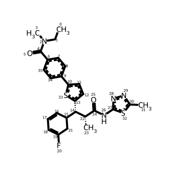 CCN(C)C(=O)c1ccc(-c2ccc([C@@H](C3C=CC=C(F)C3)[C@@H](C)C(=O)Nc3nnc(C)s3)s2)cc1